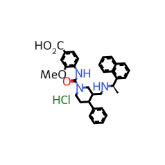 COc1cc(C(=O)O)ccc1NC(=O)N1CCC(c2ccccc2)C(CN[C@H](C)c2cccc3ccccc23)C1.Cl